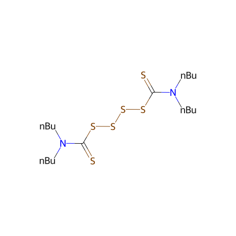 CCCCN(CCCC)C(=S)SSSSC(=S)N(CCCC)CCCC